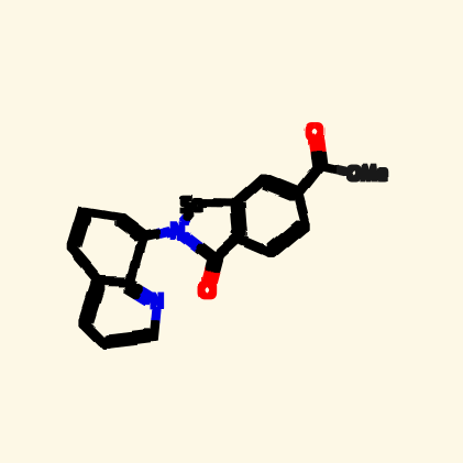 COC(=O)c1ccc2c(=O)n(-c3cccc4cccnc34)[se]c2c1